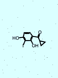 O=C(c1ccc(O)c(I)c1O)C1CC1